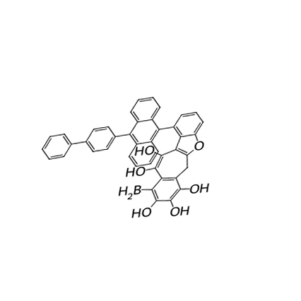 Bc1c(O)c(O)c(O)c2c1C(O)=C(O)c1c(oc3cccc(-c4c5ccccc5c(-c5ccc(-c6ccccc6)cc5)c5ccccc45)c13)C2